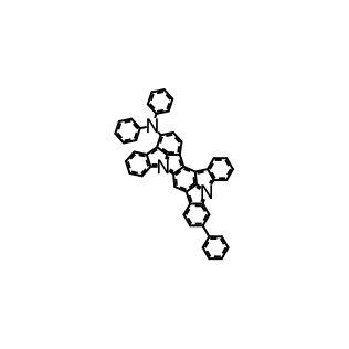 c1ccc(-c2ccc3c4cc5c(c6ccc(N(c7ccccc7)c7ccccc7)c7c8ccccc8n5c67)c5c6ccccc6n(c3c2)c45)cc1